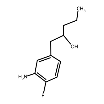 CCCC(O)Cc1ccc(F)c(N)c1